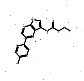 CCCC(=O)Nc1c[nH]c2ncc(-c3ccc(C)cc3)cc12